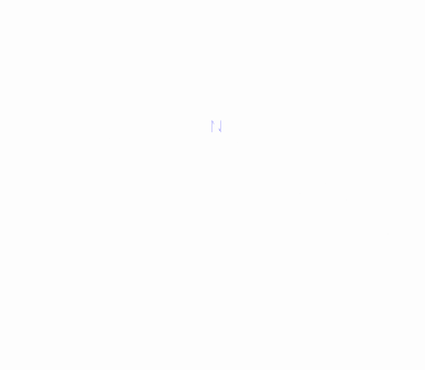 c1cc2c(c(-c3c4ccccc4c(-c4ccc(-n5c6ccccc6c6cc(-c7ccc8ccccc8c7)ccc65)cc4)c4ccccc34)c1)CCCC2